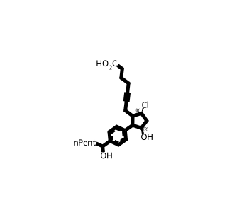 CCCCCC(O)c1ccc(C2C(CC#CCCCC(=O)O)[C@H](Cl)C[C@H]2O)cc1